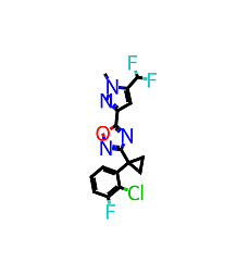 Cn1nc(-c2nc(C3(c4cccc(F)c4Cl)CC3)no2)cc1C(F)F